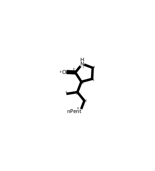 CCCCCCC(C)C1CCNC1=O